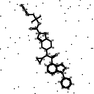 CC(C)(CN=[N+]=[N-])OC(=O)N1C=C2CC(N(C(=O)c3cccc4c3cnn4-c3ccccc3)C3CC3)CCC2N1